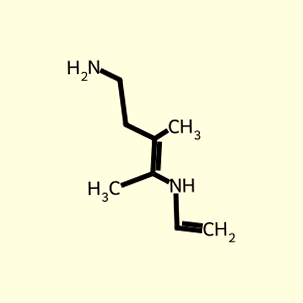 C=CN/C(C)=C(\C)CCN